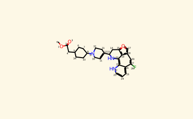 COC(=O)CC1CCC(N2CC=C(C3Cc4occ5c4C(=C4NC=CC=C4C(F)=C5)N3)CC2)CC1